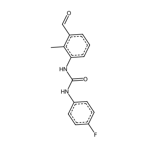 Cc1c(C=O)cccc1NC(=O)Nc1ccc(F)cc1